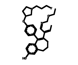 C/C=C(\C=N/COCC)C1=C(c2ccc(OC3CCN(CCCF)C3)cc2)c2ccc(O)cc2CCC1